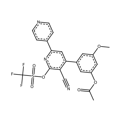 COc1cc(OC(C)=O)cc(-c2cc(-c3ccncc3)nc(OS(=O)(=O)C(F)(F)F)c2C#N)c1